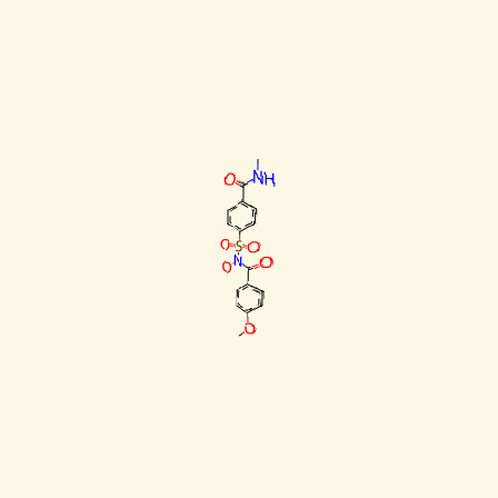 CNC(=O)c1ccc(S(=O)(=O)N(OC)C(=O)c2ccc(OC)cc2)cc1